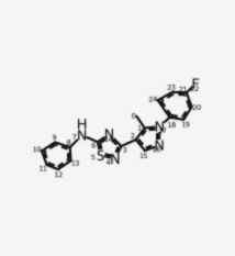 Cc1c(-c2nsc(Nc3ccccc3)n2)cnn1-c1ccc(F)cc1